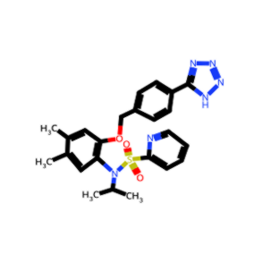 Cc1cc(OCc2ccc(-c3nnn[nH]3)cc2)c(N(C(C)C)S(=O)(=O)c2ccccn2)cc1C